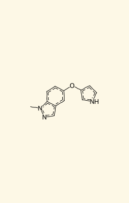 Cn1ncc2cc(Oc3cc[nH]c3)ccc21